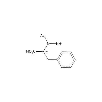 CC(=O)N([NH])[C@@H](Cc1ccccc1)C(=O)O